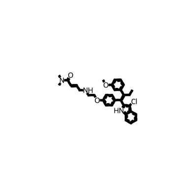 CC/C(=C(/c1ccc(OCCNC/C=C/C(=O)N(C)C)cc1)c1[nH]c2ccccc2c1Cl)c1cccc(OC)c1